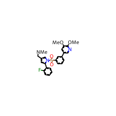 CNCc1cc(-c2ccccc2F)n(S(=O)(=O)c2cccc(-c3cnc(OC)c(OC)c3)c2)c1